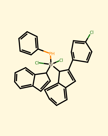 Clc1ccc(C2=Cc3ccccc3[CH]2[Zr]([Cl])([Cl])([PH]c2ccccc2)[CH]2C=Cc3ccccc32)cc1